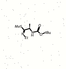 CCN=C(SC)[C@@H](C)NC(=O)OC(C)(C)C